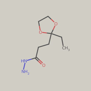 CCC1(CCC(=O)NN)OCCO1